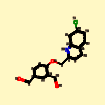 O=Cc1ccc(OCc2ccc3ccc(Cl)cc3n2)c(C=O)c1